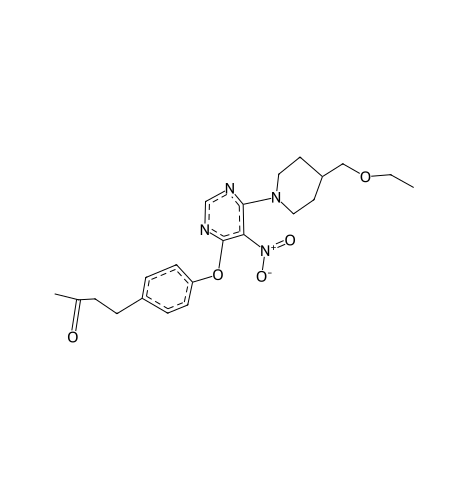 CCOCC1CCN(c2ncnc(Oc3ccc(CCC(C)=O)cc3)c2[N+](=O)[O-])CC1